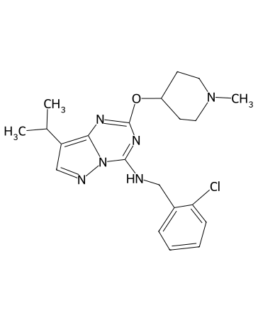 CC(C)c1cnn2c(NCc3ccccc3Cl)nc(OC3CCN(C)CC3)nc12